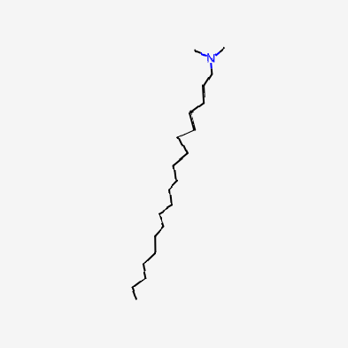 CCCCCCCCCCCCCCCCCCCN(C)C